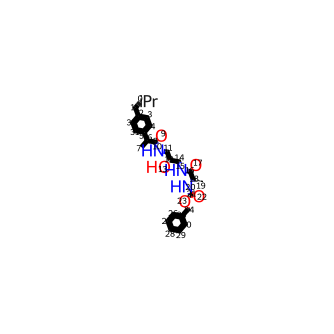 CC(C)Cc1ccc(C(C)C(=O)NCC(O)CNC(=O)[C@H](C)NC(=O)OCc2ccccc2)cc1